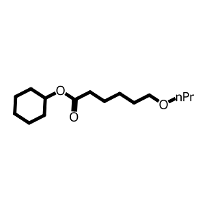 CCCOCCCCCC(=O)OC1CCCCC1